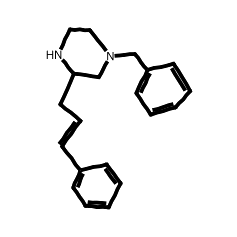 C(=Cc1ccccc1)CC1CN(Cc2ccccc2)CCN1